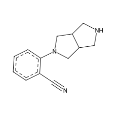 N#Cc1ccccc1N1CC2CNCC2C1